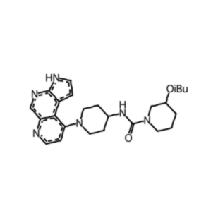 CC(C)COC1CCCN(C(=O)NC2CCN(c3ccnc4cnc5[nH]ccc5c34)CC2)C1